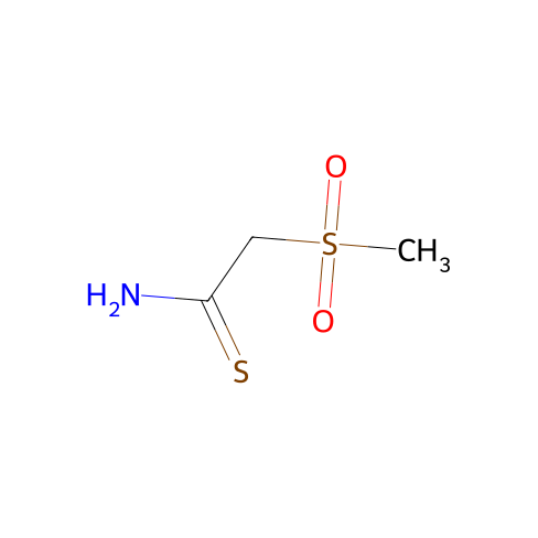 CS(=O)(=O)CC(N)=S